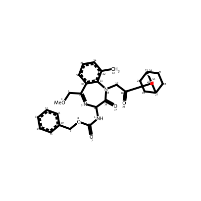 COCC1=NC(NC(=O)OCc2ccccc2)C(=O)N(CC(=O)N2CC3CCC(CC3)C2)c2c(C)cccc21